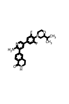 CC(C)C1CN(c2c(F)cc(-c3cnc(N)c(-c4ccc5c(c4)CCNC5=O)c3)cc2F)CCO1